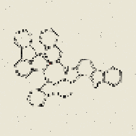 c1ccc2c(c1)-c1cccc3c(-n4c5ccccc5c5ccc6c7c8oc9ccccc9c8ccc7n(-c7ccc8ccccc8c7)c6c54)ccc-2c13